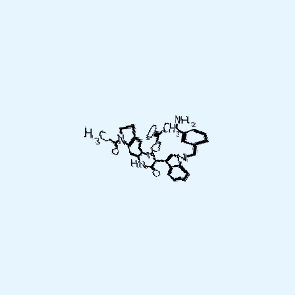 CC(=O)ON1c2cc3c(cc2NC(=O)C1c1cn(Cc2cccc(CN)c2)c2ccccc12)N(C(C)=O)CC3